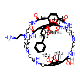 CCCCOC1C(OCCCC)[C@H]2C=C[C@@H]1C(=O)NCCN1CCN[C@H](O)C3C=CC(CNCCN(CCNC(=O)C4C=C[C@H](C(OCCCC)[C@H]4CCc4ccccc4)[C@@H](O)NCC1)CCN(CCN)CCNC2=O)[C@H](OCCCC)[C@@H]3OCCCC